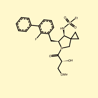 CCS(=O)(=O)N[C@@H]1[C@H](Cc2cccc(-c3ccccc3)c2F)N(C(=O)[C@H](O)COC)CC12CC2